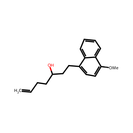 C=CCCC(O)CCc1ccc(OC)c2ccccc12